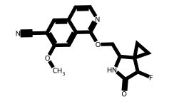 COc1cc2c(OCC3NC(=O)C(F)C34CC4)nccc2cc1C#N